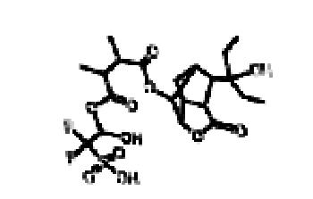 CCC(O)(CC)C1C2CC3C(OC(=O)C31)C2OC(=O)C(C)C(C)C(=O)OC(O)C(F)(F)S(=O)(=O)O